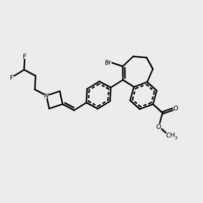 COC(=O)c1ccc2c(c1)CCCC(Br)=C2c1ccc(C=C2CN(CCC(F)F)C2)cc1